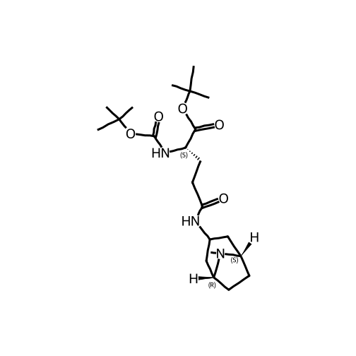 CN1[C@@H]2CC[C@H]1CC(NC(=O)CC[C@H](NC(=O)OC(C)(C)C)C(=O)OC(C)(C)C)C2